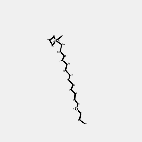 CCCOCCCCCCCCCCCCC[Si]1(C)CCC1